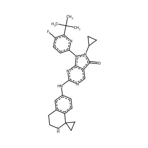 CC(C)(C)c1nc(-n2c3nc(Nc4ccc5c(c4)CCNC54CC4)ncc3c(=O)n2C2CC2)ccc1F